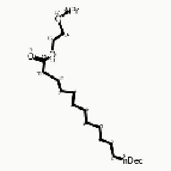 CCCCCCCCCCCCCCCCCCCCCC(=O)OCCOC(C)C